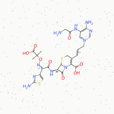 CC(C)(O/N=C(\C(=O)N[C@@H]1C(=O)N2C(C(=O)O)=C(/C=C/C[n+]3cnc(N)c(NC(=O)CN)c3)CSC12)c1csc(N)n1)C(=O)O